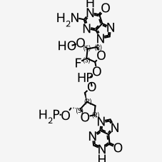 Nc1nc2c(ncn2[C@@H]2OC(OPOC[C@H]3C[C@H](n4cnc5c(=O)[nH]cnc54)O[C@@H]3COP)[C@@H](F)[C@H]2OO)c(=O)[nH]1